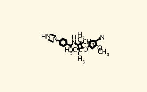 COc1cc(OC2C(C)(C)C(NC(=O)c3ccc(N4CCNCC4)cc3)C2(C)C)ccc1C#N